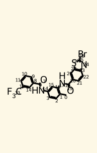 Cc1ccc(NC(=O)c2cccc(C(F)(F)F)c2)cc1NC(=O)c1ccc2nc(Br)sc2c1